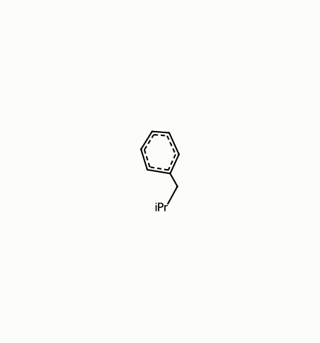 [CH2]C([CH2])Cc1ccccc1